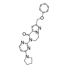 O=C1c2cc(COc3ccccc3)nn2CCN1c1nccc(N2CCCC2)n1